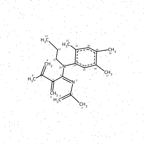 C=C(C)/N=C(\C(=C)C(=C)C)N(CCC)c1cc(C)c(C)cc1C